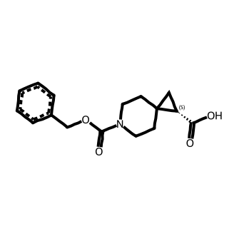 O=C(O)[C@H]1CC12CCN(C(=O)OCc1ccccc1)CC2